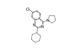 Clc1ccc2c(N3CCCC3)nc(C3CCCCC3)nc2c1